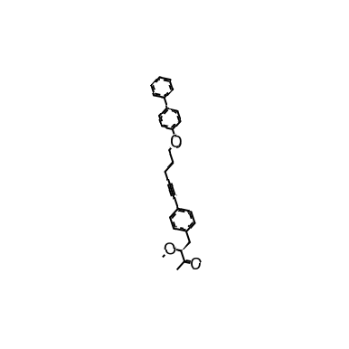 CO[C@@H](Cc1ccc(C#CCCCOc2ccc(-c3ccccc3)cc2)cc1)C(C)=O